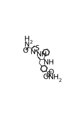 N=C(/C(=C\Nc1nc(C(N)=O)cs1)Cc1ccc(S(N)(=O)=O)cc1)c1ccccc1